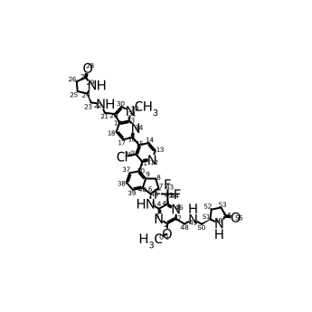 COc1nc(N[C@@H]2CCc3c(-c4nccc(-c5ccc6c(CNC[C@H]7CCC(=O)N7)cn(C)c6n5)c4Cl)cccc32)c(C(F)(F)F)nc1CNC[C@H]1CCC(=O)N1